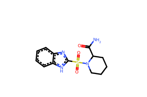 NC(=O)C1CCCCN1S(=O)(=O)c1nc2ccccc2[nH]1